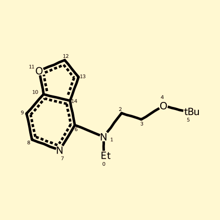 CCN(CCOC(C)(C)C)c1nccc2occc12